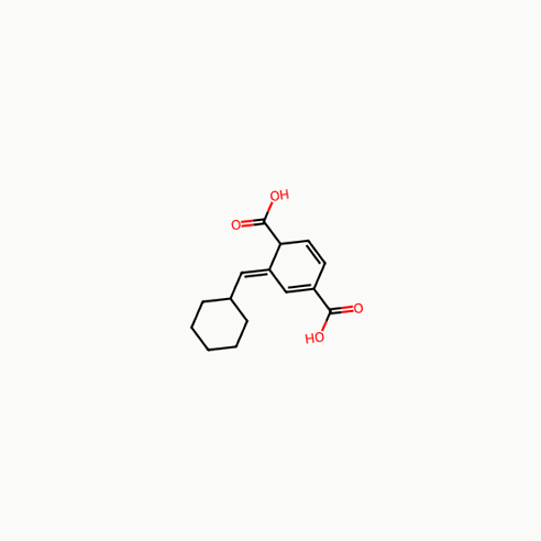 O=C(O)C1=CC(=CC2CCCCC2)C(C(=O)O)C=C1